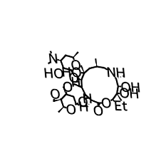 CC[C@H]1OC(=O)[C@H](C)[C@H]2O[C@H]3C[C@@](C)(OC[C@@H]2[C@@H](O[C@@H]2O[C@H](C)C[C@H](N(C)C)[C@H]2O)[C@](C)(O)C[C@@H](C)CN[C@H](C)[C@@H](O)[C@]1(C)O)[C@]1(CO1)[C@H](C)O3